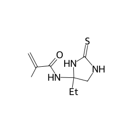 C=C(C)C(=O)NC1(CC)CNC(=S)N1